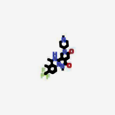 Cc1c(C(C)Nc2nn(C)c(=O)c3cc(=O)n(C4CCN(C)CC4)cc23)cccc1C(F)(F)F